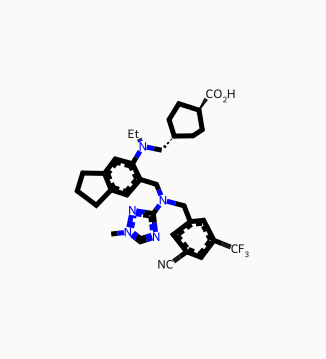 CCN(C[C@H]1CC[C@H](C(=O)O)CC1)c1cc2c(cc1CN(Cc1cc(C#N)cc(C(F)(F)F)c1)c1ncn(C)n1)CCC2